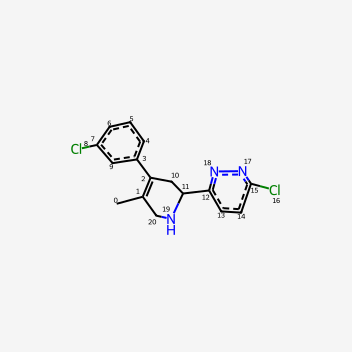 CC1=C(c2cccc(Cl)c2)CC(c2ccc(Cl)nn2)NC1